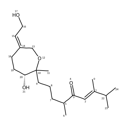 C/C(=C\C(=O)C(C)CCCC1(C)OCC(=CCO)CC[C@H]1O)C(C)C